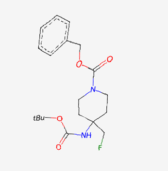 CC(C)(C)OC(=O)NC1(CF)CCN(C(=O)OCc2ccccc2)CC1